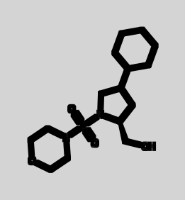 O=S(=O)(N1CCOCC1)N1CC(C2CCCCC2)C[C@H]1CO